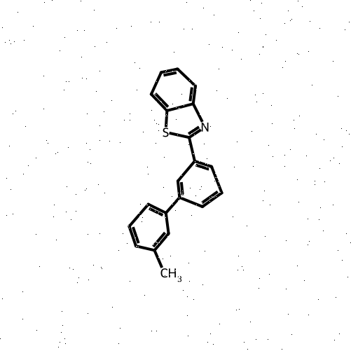 Cc1cccc(-c2cccc(-c3nc4ccccc4s3)c2)c1